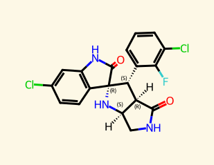 O=C1NC[C@H]2N[C@]3(C(=O)Nc4cc(Cl)ccc43)[C@H](c3cccc(Cl)c3F)[C@@H]12